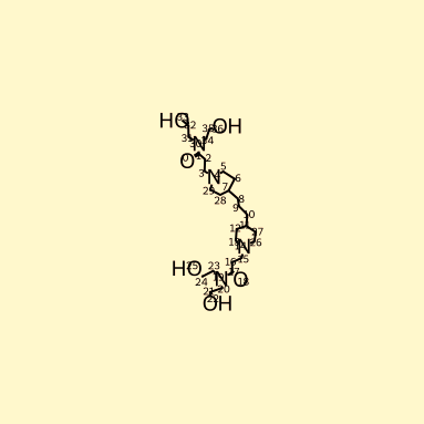 O=C(CCN1CCC(CCCC2CCN(CCC(=O)N(CCO)CCO)CC2)CC1)N(CCO)CCO